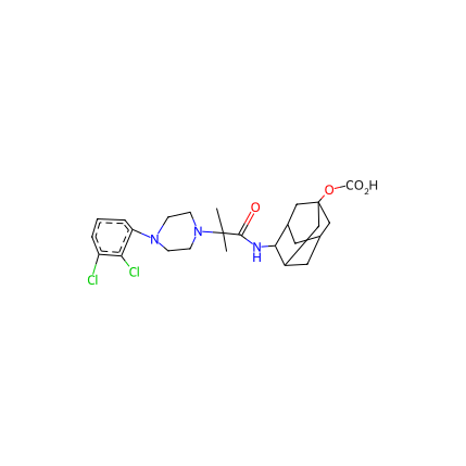 CC(C)(C(=O)NC1C2CC3CC1CC(OC(=O)O)(C3)C2)N1CCN(c2cccc(Cl)c2Cl)CC1